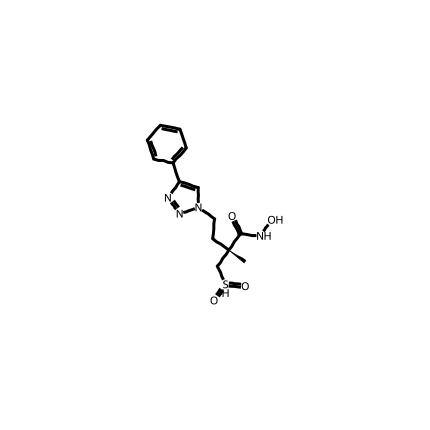 C[C@](CCn1cc(-c2ccccc2)nn1)(C[SH](=O)=O)C(=O)NO